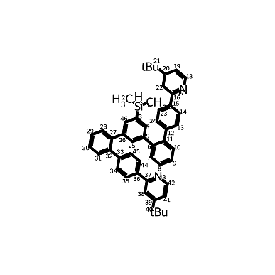 C[SiH](C)c1cc(-c2ccccc2-c2ccc(C3=NC=CC(C(C)(C)C)C3)cc2)cc(-c2ccccc2-c2ccc(-c3cc(C(C)(C)C)ccn3)cc2)c1